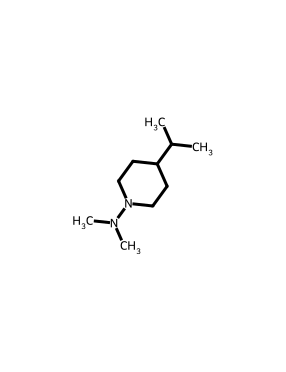 CC(C)C1CCN(N(C)C)CC1